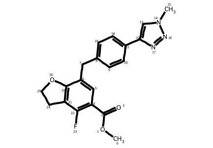 COC(=O)c1cc(Cc2ccc(-c3cn(C)nn3)cc2)c2c(c1F)CCO2